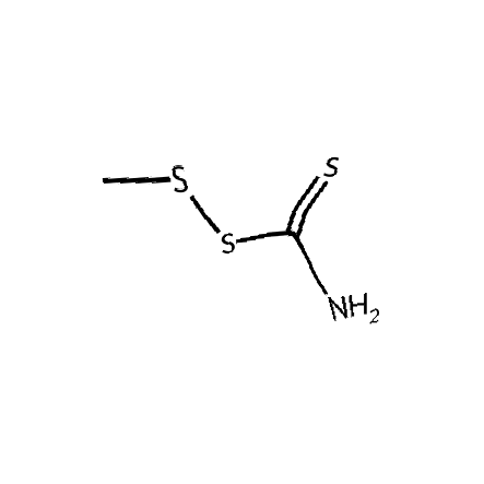 CSSC(N)=S